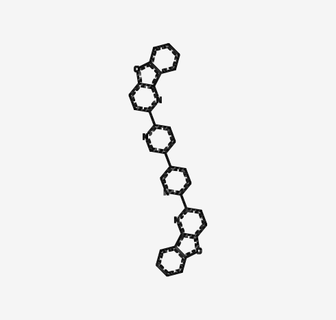 c1ccc2c(c1)oc1ccc(-c3ccc(-c4ccc(-c5ccc6oc7ccccc7c6n5)nc4)cn3)nc12